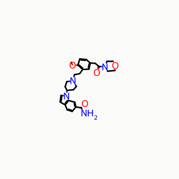 COc1ccc(CC(=O)N2CCOCC2)cc1CCN1CCC(n2ccc3ccc(C(N)=O)cc32)CC1